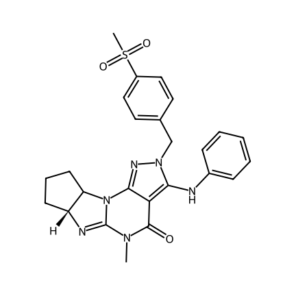 CN1C(=O)c2c(nn(Cc3ccc(S(C)(=O)=O)cc3)c2Nc2ccccc2)N2C1=N[C@@H]1CCCC12